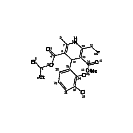 CCC(CC)OC(=O)C1=C(C)NC(CF)=C(C(=O)OC)C1c1cccc(Cl)c1Cl